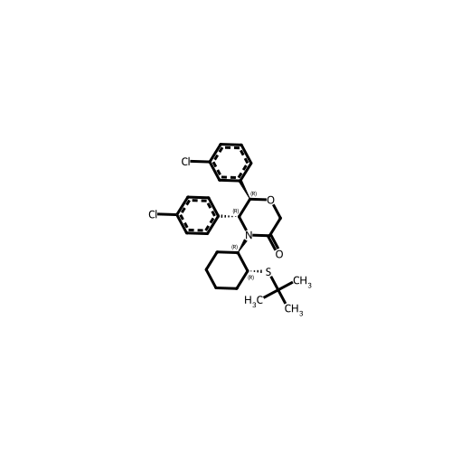 CC(C)(C)S[C@@H]1CCCC[C@H]1N1C(=O)CO[C@H](c2cccc(Cl)c2)[C@H]1c1ccc(Cl)cc1